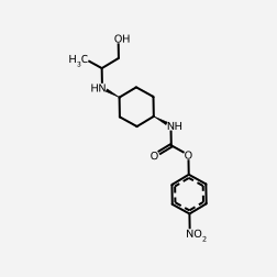 CC(CO)N[C@H]1CC[C@@H](NC(=O)Oc2ccc([N+](=O)[O-])cc2)CC1